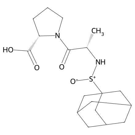 C[C@H](N[S+]([O-])C12CC3CC(CC(C3)C1)C2)C(=O)N1CCC[C@H]1C(=O)O